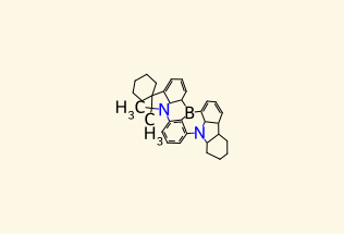 CC1(C)N2c3cccc4c3B(C3=CC=CC5C6CCCCC6N4C35)C3C=CC=C(C32)C12CCCCC2